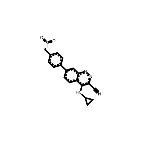 N#Cc1nnc2cc(-c3ccc(C[SH](=O)=O)cc3)ccc2c1NC1CC1